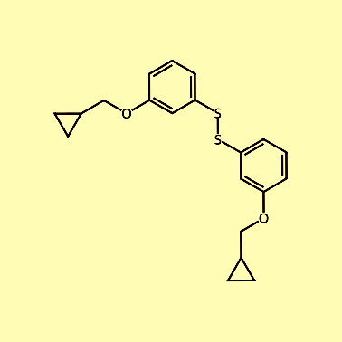 c1cc(OCC2CC2)cc(SSc2cccc(OCC3CC3)c2)c1